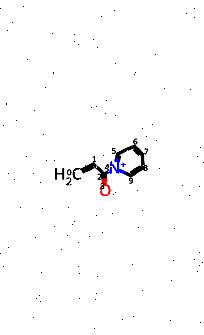 C=CC(=O)[n+]1ccccc1